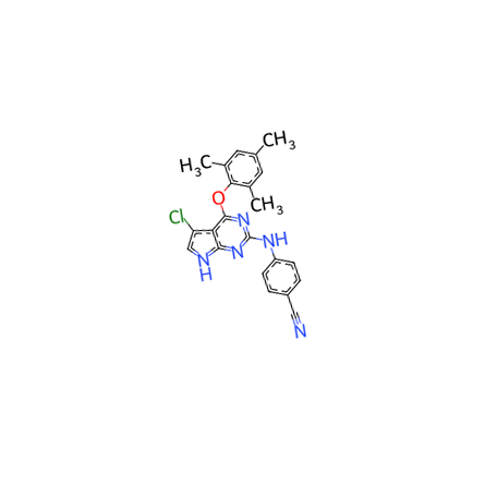 Cc1cc(C)c(Oc2nc(Nc3ccc(C#N)cc3)nc3[nH]cc(Cl)c23)c(C)c1